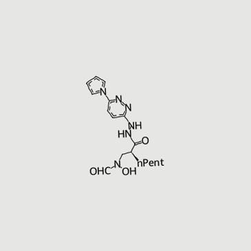 CCCCC[C@@H](CN(O)C=O)C(=O)NNc1ccc(-n2cccc2)nn1